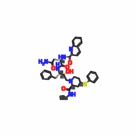 CC(C)(C)NC(=O)[C@@H]1C[C@H](Sc2ccccc2)CCN1C[C@@H](O)[C@H](Cc1ccccc1)NC(=O)[C@H](CC(N)=O)NC(=O)c1ccc2ccccc2n1